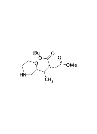 COC(=O)CN(C(=O)OC(C)(C)C)C(C)C1CNCCO1